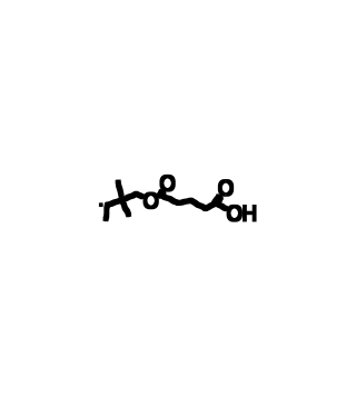 C[CH]C(C)(C)COC(=O)CCCC(=O)O